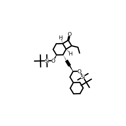 CCC1C(=O)[C@@H]2CC[C@H](O[Si](C)(C)C(C)(C)C)[C@@H](C#C[C@H](CC3CCCCC3)O[Si](C)(C)C(C)(C)C)[C@H]12